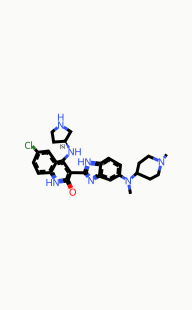 CN1CCC(N(C)c2ccc3[nH]c(-c4c(N[C@H]5CCNC5)c5cc(Cl)ccc5[nH]c4=O)nc3c2)CC1